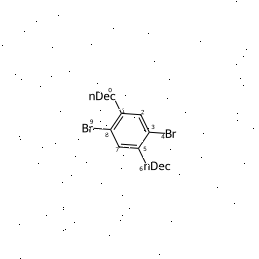 CCCCCCCCCCc1cc(Br)c(CCCCCCCCCC)cc1Br